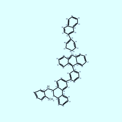 Cc1ccccc1NC1Cc2ccccc2-c2cc(-c3cccc(-c4c5ccccc5c([C@H]5C=CC(c6ccc7ccccc7c6)=CC5)c5ccccc45)c3)ccc21